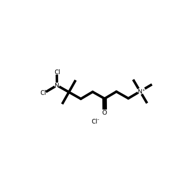 CC(C)(CCC(=O)CC[N+](C)(C)C)N(Cl)Cl.[Cl-]